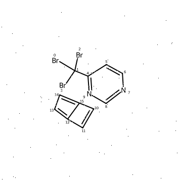 BrC(Br)(Br)c1ccncn1.c1cc2ccc1-2